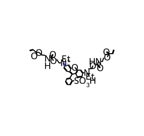 C=CC(=O)OCCNC(=O)OCCN(CC)c1ccc2c(-c3ccccc3S(=O)(=O)O)c3cc/c(=[N+](/CC)CCOC(=O)NCCOC(=O)C=C)cc-3oc2c1